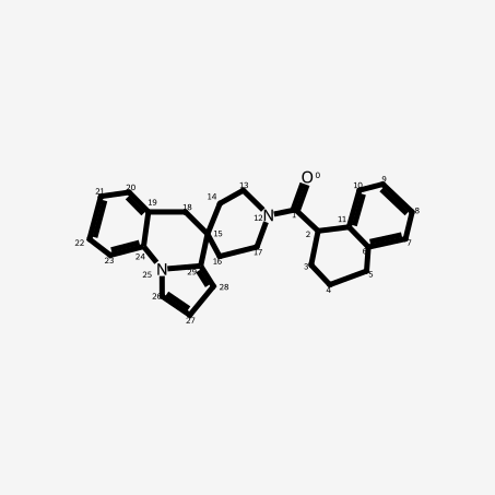 O=C(C1CCCc2ccccc21)N1CCC2(CC1)Cc1ccccc1-n1cccc12